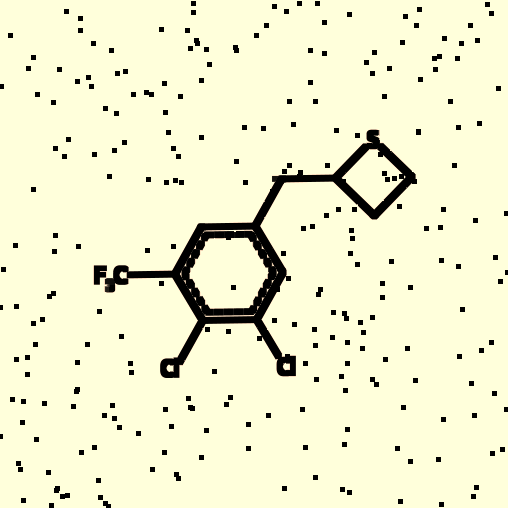 FC(F)(F)c1cc([CH]C2CCS2)cc(Cl)c1Cl